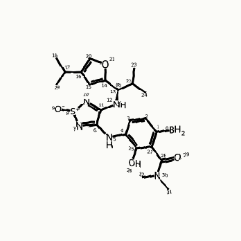 Bc1ccc(Nc2n[s+]([O-])nc2N[C@@H](c2cc(C(C)C)co2)C(C)C)c(O)c1C(=O)N(C)C